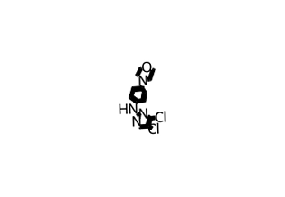 Clc1cnc(Nc2ccc(N3CCOCC3)cc2)nc1Cl